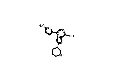 Cc1ccc(-c2cnc(N)c3nc([C@H]4CCCNC4)cn23)s1